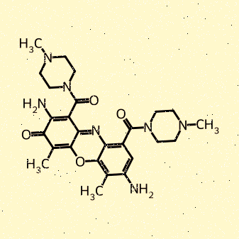 Cc1c2oc3c(C)c(N)cc(C(=O)N4CCN(C)CC4)c3nc-2c(C(=O)N2CCN(C)CC2)c(N)c1=O